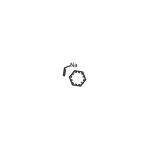 C=[CH][Na].c1ccccc1